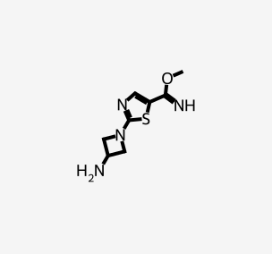 COC(=N)c1cnc(N2CC(N)C2)s1